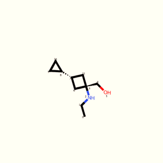 CCN[C@]1(CO)C[C@H](C2CC2)C1